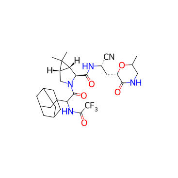 CC1CNC(=O)[C@H](C[C@@H](C#N)NC(=O)[C@@H]2[C@@H]3[C@H](CN2C(=O)C(NC(=O)C(F)(F)F)C24CC5CC(CC(C5)C2)C4)C3(C)C)O1